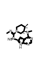 C/N=C(\N(C)C#N)N1CC[C@@H](C)[C@@H](N(C)c2ncnc3[nH]ccc23)C1